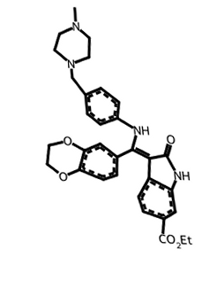 CCOC(=O)c1ccc2c(c1)NC(=O)/C2=C(\Nc1ccc(CN2CCN(C)CC2)cc1)c1ccc2c(c1)OCCO2